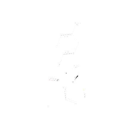 NC1(Cc2ccc([N+](=O)[O-])cc2)C(=O)N2C(C(=O)O)=CCS[C@H]21